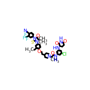 CCc1cc(N2C(=S)N(c3ccc(C#N)c(C(F)(F)F)c3)C(=O)C2(C)C)ccc1OCCC1CCN(C(C)C(=O)Nc2cc(Cl)cc(NC3CCC(=O)NC3=O)c2)CC1